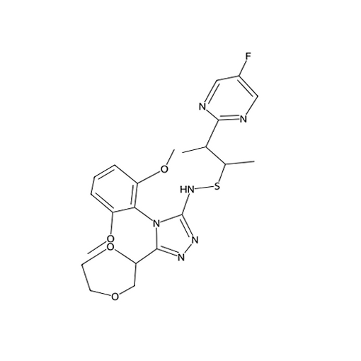 COc1cccc(OC)c1-n1c(NSC(C)C(C)c2ncc(F)cn2)nnc1C1COCCO1